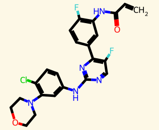 C=CC(=O)Nc1cc(-c2nc(Nc3ccc(Cl)c(N4CCOCC4)c3)ncc2F)ccc1F